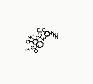 CC(C)OC(=O)N1CCCC(N(Cc2cc(N=[N+]=[N-])cc(C(F)(F)F)c2)C(=O)CF)c2cc(C#N)c(Cl)cc21